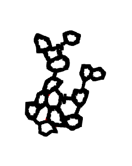 c1ccc(-c2ccc(-c3cccc4ccccc34)cc2N(c2cccc(-c3ccc4c(c3)c3ccccc3n4-c3ccccc3)c2)c2ccccc2-c2cccc3cccc(C4CCCCC4)c23)cc1